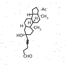 CC(=O)[C@H]1CC[C@H]2[C@@H]3CC[C@@H]4C[C@@](O)(C#CCCC=O)CC[C@]4(C)[C@H]3CC[C@]12C